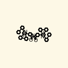 O=c1c2cc(-c3nc(-c4ccccc4-c4ccccc4)cc(-c4ccccc4-c4ccccc4)n3)ccc2n2c3ccc(-c4nc(-c5ccccc5-c5ccccc5)cc(-c5ccccc5-c5ccccc5)n4)cc3c(=O)n12